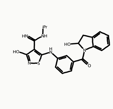 CC(C)NC(=N)c1c(O)nsc1Nc1cccc(C(=O)N2c3ccccc3CC2O)c1